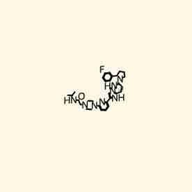 CC(C)NC(=O)CN1CCN(c2cccc(-c3cnc(/C=C\C(=N)N4CCCC4c4cccc(F)c4)[nH]3)n2)CC1